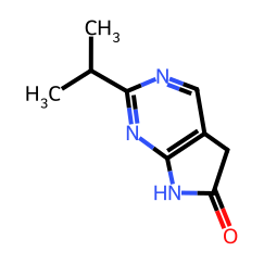 CC(C)c1ncc2c(n1)NC(=O)C2